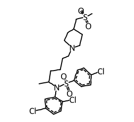 CC(CCCCN1CCC(CS(C)(=O)=O)CC1)N(c1cc(Cl)ccc1Cl)S(=O)(=O)c1ccc(Cl)cc1